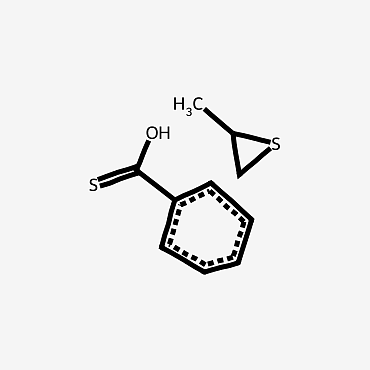 CC1CS1.OC(=S)c1ccccc1